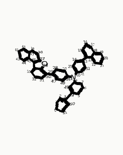 c1ccc(-c2cccc(N(c3ccc(-c4cccc5ccccc45)cc3)c3ccc(-c4cccc5c4oc4ccc6ccccc6c45)cc3)c2)cc1